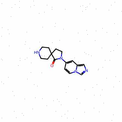 O=C1N(c2ccn3cncc3c2)CCC12CCNCC2